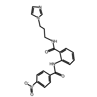 O=C(Nc1ccccc1C(=O)NCCCn1ccnc1)c1ccc([N+](=O)[O-])cc1